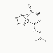 CC(C)COC(=O)C1C2CCC(C2)C1C(=O)O